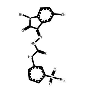 CCN1C(=O)C(=NNC(=S)Nc2cccc(S(N)(=O)=O)c2)c2cc(C#N)ccc21